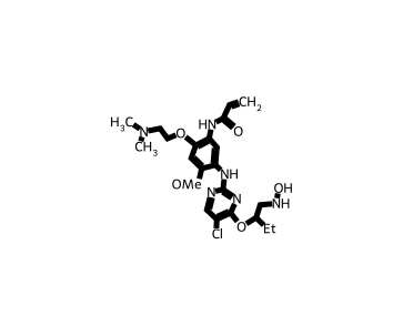 C=CC(=O)Nc1cc(Nc2ncc(Cl)c(OC(CC)CNO)n2)c(OC)cc1OCCN(C)C